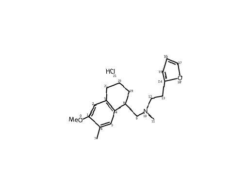 COc1cc2c(cc1C)C(CN(C)CCc1ccco1)CCC2.Cl